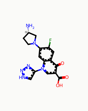 N[C@H]1CCN(c2cc3c(cc2F)c(=O)c(C(=O)O)cn3-c2c[nH]nn2)C1